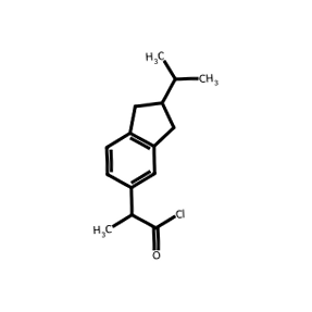 CC(C(=O)Cl)c1ccc2c(c1)CC(C(C)C)C2